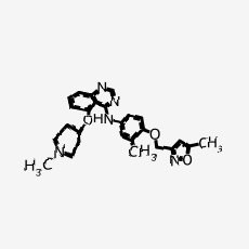 Cc1cc(COc2ccc(Nc3ncnc4cccc(OC5CCN(C)CC5)c34)cc2C)no1